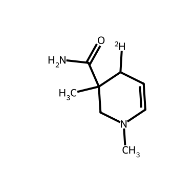 [2H]C1C=CN(C)CC1(C)C(N)=O